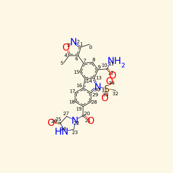 Cc1noc(C)c1-c1cc(C(N)=O)c2c(c1)c1ccc(C(=O)N3CNC(=O)C3)cc1n2S(C)(=O)=O